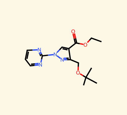 CCOC(=O)c1cn(-c2ncccn2)nc1COC(C)(C)C